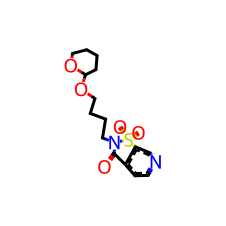 O=C1c2ccncc2S(=O)(=O)N1CCCCOC1CCCCO1